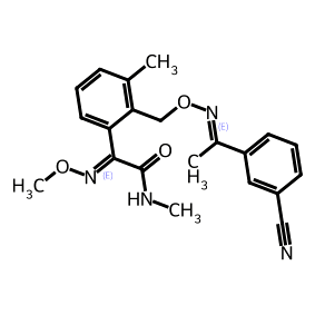 CNC(=O)/C(=N/OC)c1cccc(C)c1CO/N=C(\C)c1cccc(C#N)c1